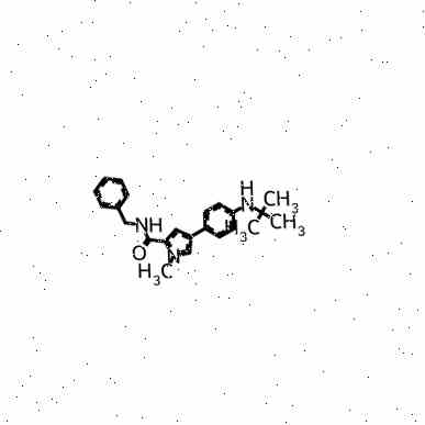 Cn1cc(-c2ccc(NC(C)(C)C)cc2)cc1C(=O)NCc1ccccc1